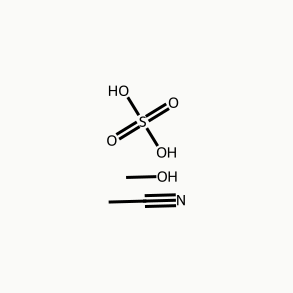 CC#N.CO.O=S(=O)(O)O